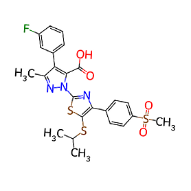 Cc1nn(-c2nc(-c3ccc(S(C)(=O)=O)cc3)c(SC(C)C)s2)c(C(=O)O)c1-c1cccc(F)c1